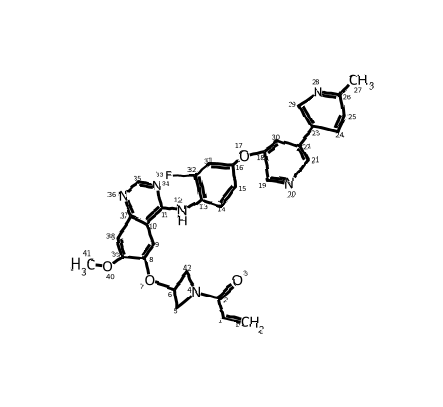 C=CC(=O)N1CC(Oc2cc3c(Nc4ccc(Oc5cncc(-c6ccc(C)nc6)c5)cc4F)ncnc3cc2OC)C1